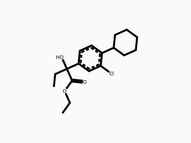 CCOC(=O)C(O)(CC)c1ccc(C2CCCCC2)c(Cl)c1